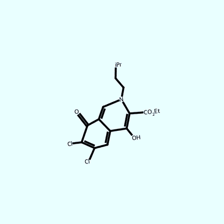 CCOC(=O)c1c(O)c2cc(Cl)c(Cl)c(=O)c-2cn1CCC(C)C